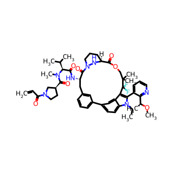 C=CC(=O)N1CC[C@H](C(=O)N(C)[C@H](C(=O)N[C@H]2Cc3cccc(c3)-c3ccc4c(c3)c(c(-c3cccnc3[C@H](C)OC)n4CC)C(F)(F)C(C)(C)COC(=O)[C@@H]3CCCN(N3)C2=O)C(C)C)C1